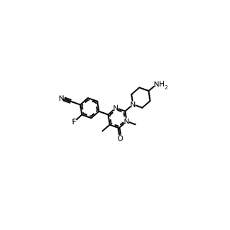 Cc1c(-c2ccc(C#N)c(F)c2)nc(N2CCC(N)CC2)n(C)c1=O